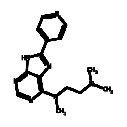 CN(C)CCN(C)c1ncnc2[nH]c(-c3ccncc3)nc12